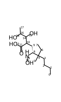 CCCCC(C)(CC)[C@@H](CC(C(=O)O)C(O)C(C)O)NO